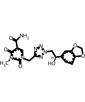 Cn1c(=O)c(C(N)=O)cn(Cc2nnn(C[C@H](O)c3ccc4c(c3)OCO4)n2)c1=O